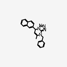 CC1=CC(c2ccc3ccccc3c2)n2nnnc2N1Cc1ccccc1